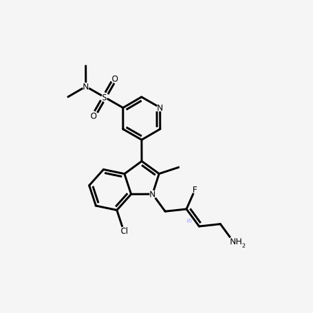 Cc1c(-c2cncc(S(=O)(=O)N(C)C)c2)c2cccc(Cl)c2n1C/C(F)=C/CN